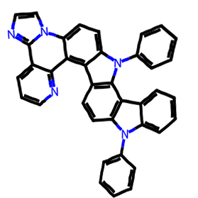 c1ccc(-n2c3ccccc3c3c2ccc2c4c5c6ncccc6c6nccn6c5ccc4n(-c4ccccc4)c23)cc1